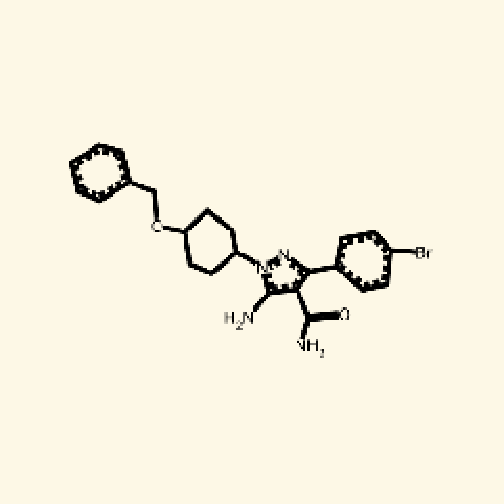 NC(=O)c1c(-c2ccc(Br)cc2)nn(C2CCC(OCc3ccccc3)CC2)c1N